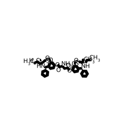 CCCC[C@@]1(CC)CS(=O)(=O)c2cc(OC(=O)CC(N)C(=O)Oc3ccc4c(c3)S(=O)(=O)C[C@](CC)(CCCC)N[C@H]4c3ccccc3)ccc2[C@H](c2ccccc2)N1